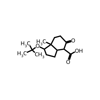 CC(C)(C)OC1CCC2C(C(=O)O)C(=O)CCC12C